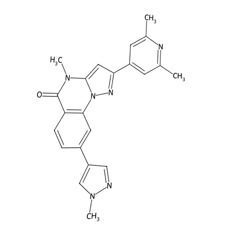 Cc1cc(-c2cc3n(C)c(=O)c4ccc(-c5cnn(C)c5)cc4n3n2)cc(C)n1